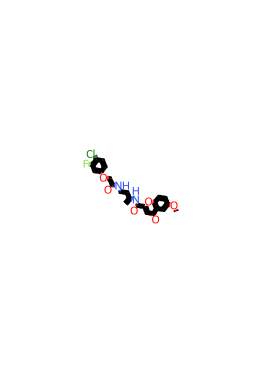 C=C(CCNC(=O)COc1ccc(Cl)c(F)c1)NC(=O)c1cc(=O)c2cc(OC)ccc2o1